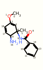 COC1=CC(C)(NC(=O)c2ccccc2)C(N)C=C1